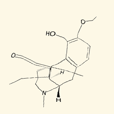 COc1ccc2c(c1O)[C@@]13CCN(C)[C@@H](C2)[C@H]1CC(C)C(=O)C3